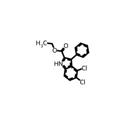 CCOC(=O)c1[nH]c2ccc(Cl)c(Cl)c2c1-c1ccccc1